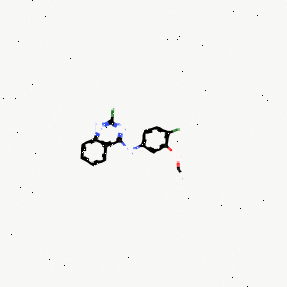 CCOc1cc(Nc2nc(Cl)nc3ccccc23)ccc1Cl